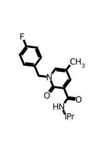 Cc1cc(C(=O)NC(C)C)c(=O)n(Cc2ccc(F)cc2)c1